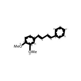 COc1ccc(/C=C/C=C/c2ccccc2)cc1OC